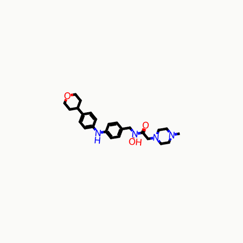 CN1CCN(CC(=O)N(O)Cc2ccc(Nc3ccc(C4CCOCC4)cc3)cc2)CC1